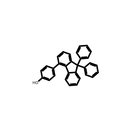 Oc1ccc(-c2cccc3c2-c2ccccc2C3(c2ccccc2)c2ccccc2)cc1